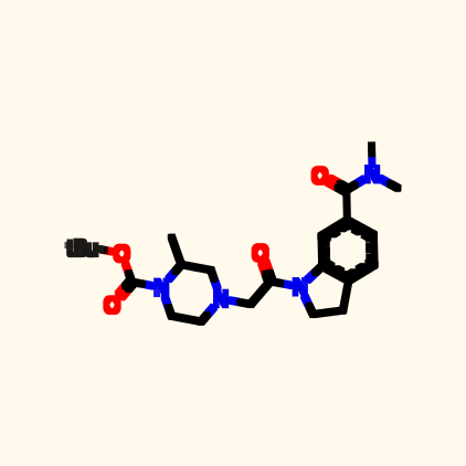 CC1CN(CC(=O)N2CCc3ccc(C(=O)N(C)C)cc32)CCN1C(=O)OC(C)(C)C